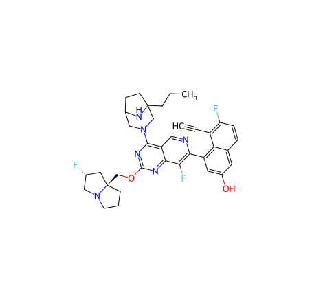 C#Cc1c(F)ccc2cc(O)cc(-c3ncc4c(N5CC6CCC(CCC)(C5)N6)nc(OC[C@@]56CCCN5C[C@H](F)C6)nc4c3F)c12